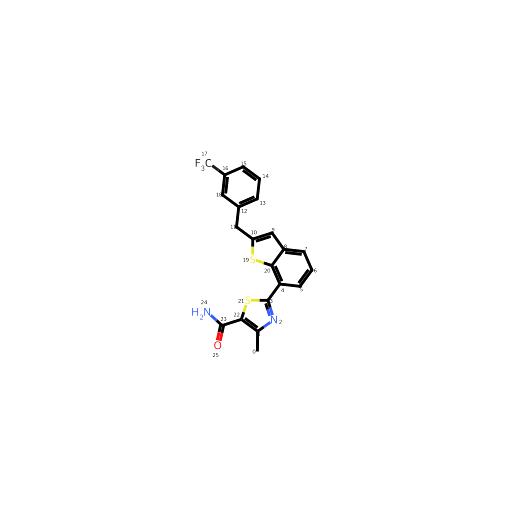 Cc1nc(-c2cccc3cc(Cc4cccc(C(F)(F)F)c4)sc23)sc1C(N)=O